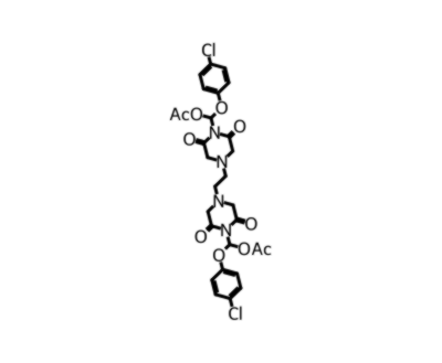 CC(=O)OC(Oc1ccc(Cl)cc1)N1C(=O)CN(CCN2CC(=O)N(C(OC(C)=O)Oc3ccc(Cl)cc3)C(=O)C2)CC1=O